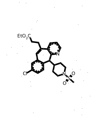 CCOC(=O)CCC1=Cc2cc(Cl)ccc2C(C2CCN(S(C)(=O)=O)CC2)c2ncccc21